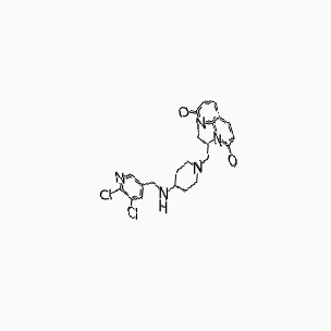 O=c1ccc2ccc(=O)n3c2n1CC3CN1CCC(NCc2cnc(Cl)c(Cl)c2)CC1